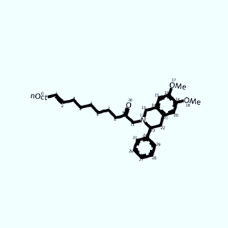 CCCCCCCCC=CCCCCCCC(=O)CN1Cc2cc(OC)c(OC)cc2CC1c1ccccc1